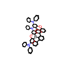 c1ccc(-c2cccc(-c3ccccc3)c2B2c3ccc(N(c4ccccc4)c4ccccc4)cc3Oc3cc4c(cc32)B2c3ccccc3Oc3cc(N(c5ccccc5)c5ccccc5)cc(c32)N4c2ccccc2)cc1